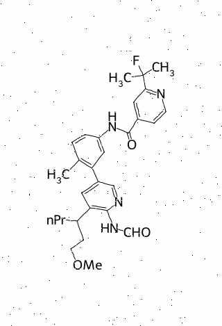 CCCC(CCOC)c1cc(-c2cc(NC(=O)c3ccnc(C(C)(C)F)c3)ccc2C)cnc1NC=O